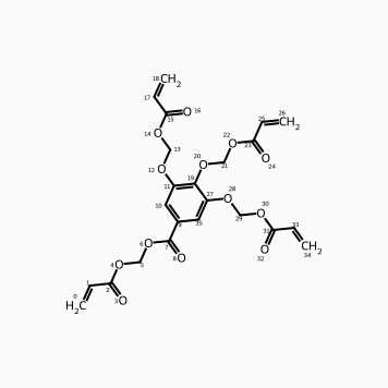 C=CC(=O)OCOC(=O)c1cc(OCOC(=O)C=C)c(OCOC(=O)C=C)c(OCOC(=O)C=C)c1